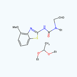 CCN(CC=O)C(=O)Nc1nc2c(OC)cccc2s1.CCOC(C)OCC